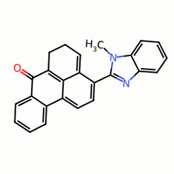 Cn1c(-c2ccc3c4c2=CCCC=4C(=O)c2ccccc2-3)nc2ccccc21